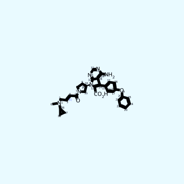 CN(C/C=C/C(=O)N1CC[C@@H](n2c(C(=O)O)c(-c3ccc(Oc4ccccc4)cc3)c3c(N)ncnc32)C1)C1CC1